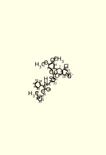 COc1ccc(C(Cc2c(Cl)c[n+]([O-])cc2Cl)OC(=O)c2ccc(CNC(C(=O)OC[C@@H]3CCCN3C)c3ccccc3)s2)cc1OC